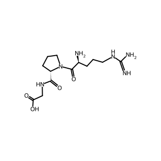 N=C(N)NCCC[C@H](N)C(=O)N1CCC[C@H]1C(=O)NCC(=O)O